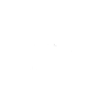 O=Cc1cc(Cl)c2c(c1)CN(CC1CC1)C2=O